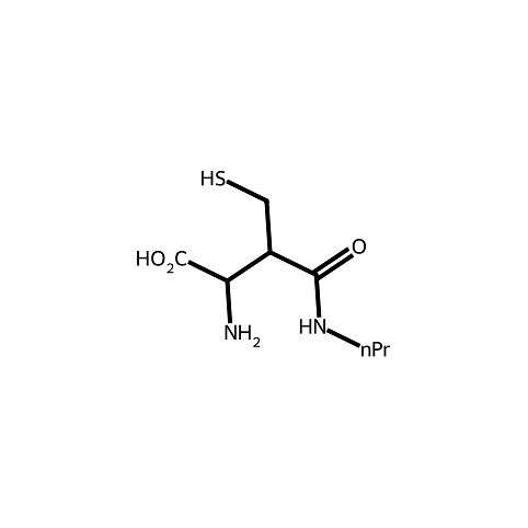 CCCNC(=O)C(CS)C(N)C(=O)O